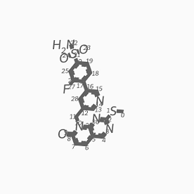 CSc1ncc2ccc(=O)n(Cc3cncc(-c4ccc(S(N)(=O)=O)cc4F)c3)c2n1